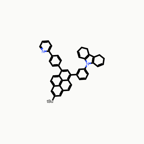 CC(C)(C)c1cc2ccc3c(-c4ccc(-c5ccccn5)cc4)cc(-c4cccc(-n5c6c(c7c5C=CCC7)CCC=C6)c4)c4ccc(c1)c2c34